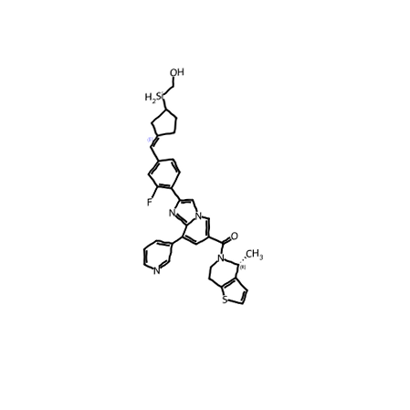 C[C@@H]1c2ccsc2CCN1C(=O)c1cc(-c2cccnc2)c2nc(-c3ccc(/C=C4\CCC([SiH2]CO)C4)cc3F)cn2c1